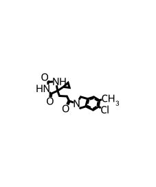 Cc1cc2c(cc1Cl)CN(C(=O)CCC1(C3CC3)NC(=O)NC1=O)C2